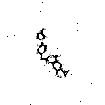 COc1cc2nc(Cc3ccc(-n4ccc(C)c4)nc3)[nH]c(=O)c2cc1C1CC1